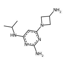 CC(C)Nc1cc(N2CC(N)C2)nc(N)n1